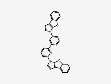 c1cc(-c2cccc(-n3ccc4c5ccccc5oc43)n2)cc(-n2ccc3c4ccccc4oc32)c1